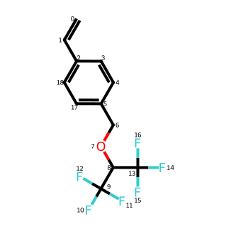 C=Cc1ccc(COC(C(F)(F)F)C(F)(F)F)cc1